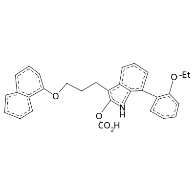 CCOc1ccccc1-c1cccc2c(CCCOc3cccc4ccccc34)c(OC(=O)O)[nH]c12